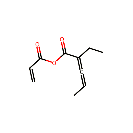 C=CC(=O)OC(=O)C(=C=CC)CC